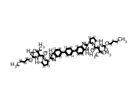 CCCCOC(=O)N[C@H](C(=O)N1CCC[C@H]1c1nc2cc(-c3ccc(-c4ccc5[nH]c([C@@H]6CCCN6C(=O)[C@@H](NC(=O)OCCCC)C(C)C)nc5c4)cc3)ccc2[nH]1)C(C)C